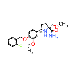 COC[C@@]1(C(N)=O)CC[C@H](c2ccc(OCc3ccccc3F)c(OC)c2)N1